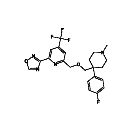 CN1CCC(COCc2cc(C(F)(F)F)cc(-c3ncon3)n2)(c2ccc(F)cc2)CC1